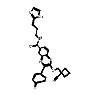 N#CC1(COc2nc3ccc(C(=O)NCCCc4ncc[nH]4)cc3nc2-c2ccc(F)cc2)CCC1